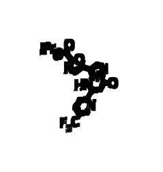 CC(C)OC(=O)c1ncc(-c2cnn3c(=O)cc(-c4ccc(C(F)(F)F)cn4)[nH]c23)o1